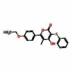 Cc1c(-c2ccc(OCC(=O)O)cc2)oc(=O)c(Sc2ccccc2)c1O